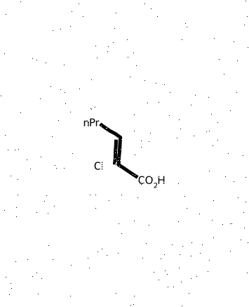 CCCC=CC(=O)O.[C]